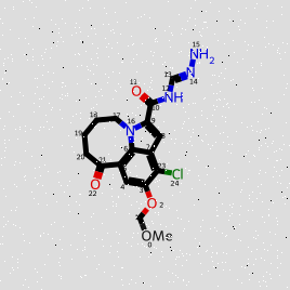 COCOc1cc2c3c(cc(C(=O)NC=NN)n3CCCCC2=O)c1Cl